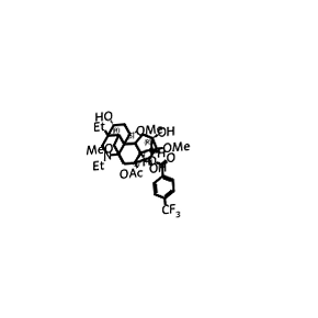 CCN1CC2(CC)C3C(OC)C4C1C3(C1C[C@@]3(O)[C@H](OC(=O)c5ccc(C(F)(F)F)cc5)[C@@H]1[C@]4(OC(C)=O)[C@@H](O)[C@@H]3OC)[C@@H](OC)C[C@H]2O